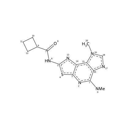 CNc1nc2sc(NC(=O)C3CCC3)nc2c2c1ncn2C